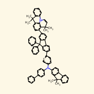 CC1(C)C=CN2c3ccccc3C(C)(C)c3ccc(-c4ccc5c(c4)C(c4ccccc4)(c4ccccc4)c4cc(-c6ccc(N(c7ccc(-c8ccccc8)cc7)c7ccc8c(c7)C(C)(C)c7ccccc7-8)cc6)ccc4-5)c1c32